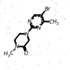 Cc1nc(N2CCN(C)C(=O)C2)ncc1Br